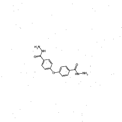 NNC(=O)c1ccc(Oc2ccc(C(=O)NN)cc2)cc1